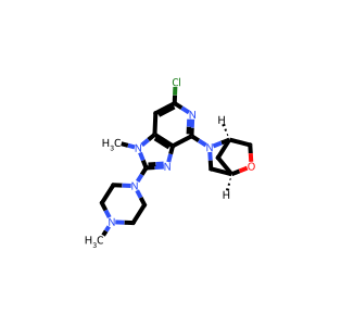 CN1CCN(c2nc3c(N4C[C@H]5C[C@@H]4CO5)nc(Cl)cc3n2C)CC1